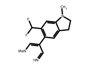 CN/C=C(\C=N)c1cc2c(cc1C(F)F)N(C)CC2